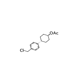 CC(=O)O[C@H]1CC[C@H](c2ccc(CCl)cc2)CC1